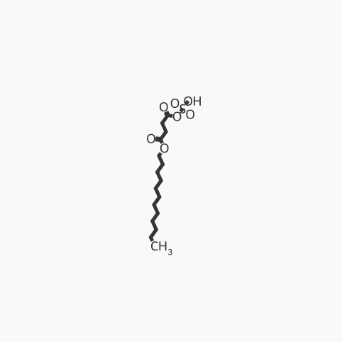 CCCCCCCCCCCCOC(=O)CCC(=O)OS(=O)(=O)O